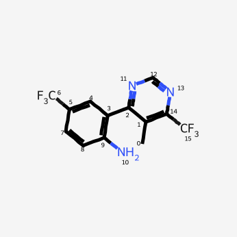 Cc1c(-c2cc(C(F)(F)F)ccc2N)ncnc1C(F)(F)F